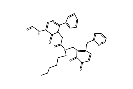 CCCCCCN(CC1=C(Oc2ccccn2)C=CC(=O)C1=O)C(=O)Cn1c(-c2ccccc2)ncc(NC=O)c1=O